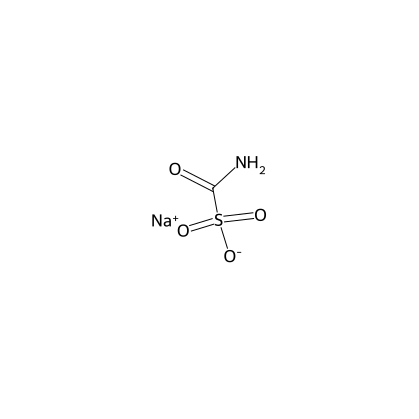 NC(=O)S(=O)(=O)[O-].[Na+]